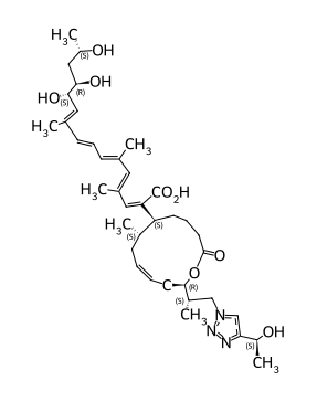 CC(=CC=CC(C)=C[C@H](O)[C@H](O)C[C@H](C)O)C=C(C)C=C(C(=O)O)[C@H]1CCCC(=O)O[C@@H]([C@@H](C)Cn2cc([C@H](C)O)nn2)CC=CC[C@@H]1C